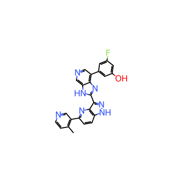 Cc1ccncc1-c1ccc2[nH]nc(-c3nc4c(-c5cc(O)cc(F)c5)cncc4[nH]3)c2n1